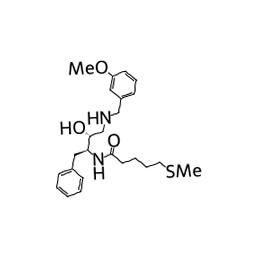 COc1cccc(CNC[C@@H](O)[C@H](Cc2ccccc2)NC(=O)CCCCSC)c1